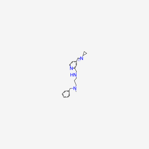 CN(CCCNCc1cc(/C=N/C2CC2)ccn1)Cc1ccccc1